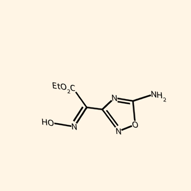 CCOC(=O)C(=NO)c1noc(N)n1